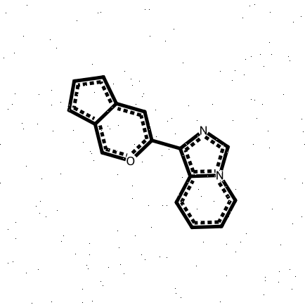 c1cc2coc(-c3ncn4ccccc34)cc-2c1